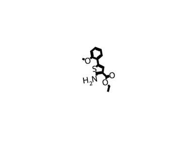 CCOC(=O)c1cc(-c2ccccc2OC)sc1N